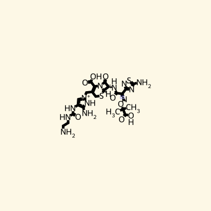 CC(C)(O/N=C(\C(=O)N[C@@H]1C(=O)N2C(C(=O)O)=C(C[n+]3cc(NC(=O)NCCN)c(N)[nH]3)CS[C@H]12)c1nsc(N)n1)C(=O)O